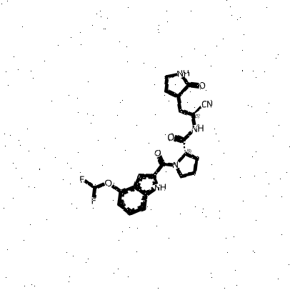 N#C[C@H](CC1CCNC1=O)NC(=O)[C@@H]1CCCN1C(=O)c1cc2c(OC(F)F)cccc2[nH]1